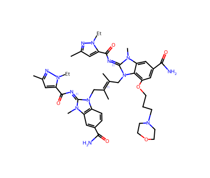 CCn1nc(C)cc1C(=O)/N=c1\n(C)c2cc(C(N)=O)ccc2n1C/C(C)=C(\C)Cn1/c(=N/C(=O)c2cc(C)nn2CC)n(C)c2cc(C(N)=O)cc(OCCCN3CCOCC3)c21